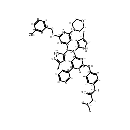 Cc1cc(N(c2cc(N3CCOCC3)nc(SCc3cccc(Cl)c3)n2)N(c2cc(-c3ccccc3)nc(Sc3ccc(NC(=O)CN(C)C)cc3)n2)c2cc(C)n[nH]2)[nH]n1